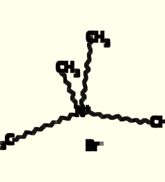 CCCCCCCCCCCCCCCC[N+](CCCCCCCCCC)(CCCCCCCCCCCCCCCC)CCCCCCCCCCCCCCCC.[Br-]